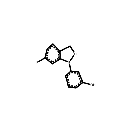 Oc1cccc(B2OCc3ccc(F)cc32)c1